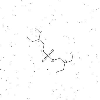 CCC(CC)COS(=O)(=O)OCC(CC)CC